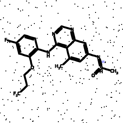 Cc1cc(/N=[SH](/C)=O)cc2ncnc(Nc3ccc(F)cc3OCCC(F)(F)F)c12